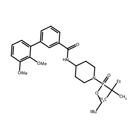 CCC(C)(C)P(=O)(OCC(C)(C)C)N1CCC(NC(=O)c2cccc(-c3cccc(OC)c3OC)c2)CC1